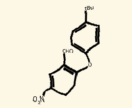 CC(C)(C)c1ccc(OC2=C(C=O)C=C([N+](=O)[O-])CC2)cc1